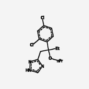 CCCOC(CC)(Cc1nc[nH]n1)c1ccc(Cl)cc1Cl